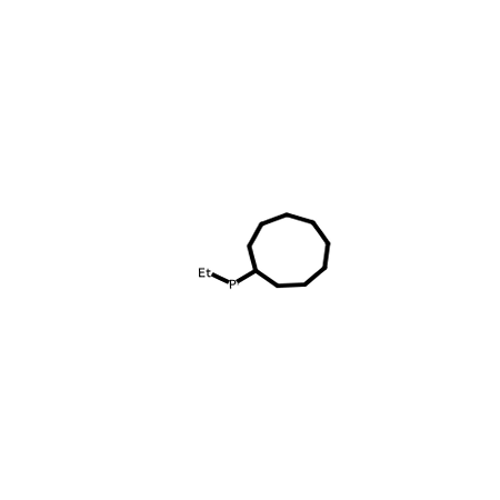 CC[P]C1CCCCCCCC1